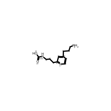 NCCCc1ccnc(CCCNC(=O)O)c1